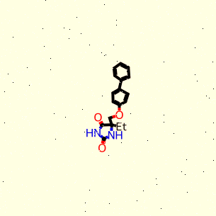 CCC1(COc2ccc(-c3ccccc3)cc2)NC(=O)NC1=O